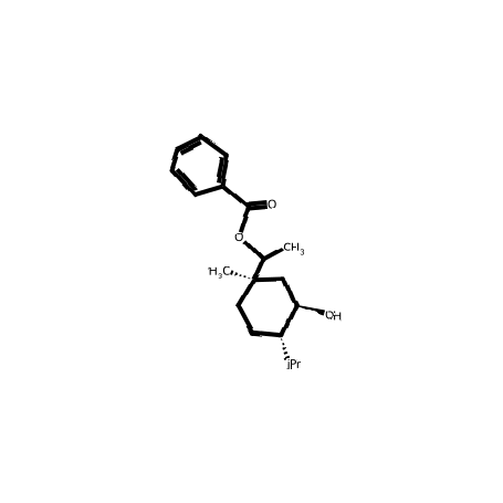 CC(C)[C@@H]1CC[C@@](C)(C(C)OC(=O)c2ccccc2)C[C@H]1O